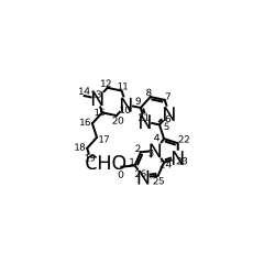 Cc1cn2c(-c3nccc(N4CCN(C)C(CCCC=O)C4)n3)cnc2cn1